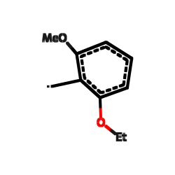 [CH2]c1c(OC)cccc1OCC